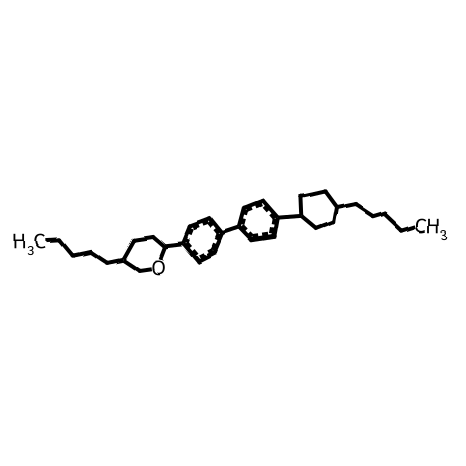 CCCCCC1CCC(c2ccc(-c3ccc(C4CCC(CCCCC)CO4)cc3)cc2)CC1